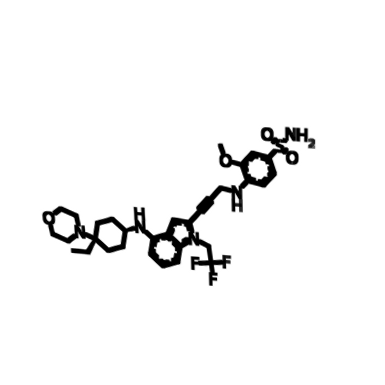 CC[C@]1(N2CCOCC2)CC[C@H](Nc2cccc3c2cc(C#CCNc2ccc(S(N)(=O)=O)cc2OC)n3CC(F)(F)F)CC1